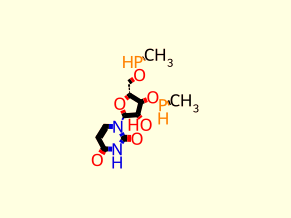 CPOC[C@H]1O[C@@H](n2ccc(=O)[nH]c2=O)C(O)C1OPC